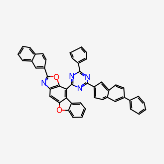 c1ccc(-c2ccc3cc(-c4nc(-c5ccccc5)nc(-c5c6oc(-c7ccc8ccccc8c7)nc6cc6oc7ccccc7c56)n4)ccc3c2)cc1